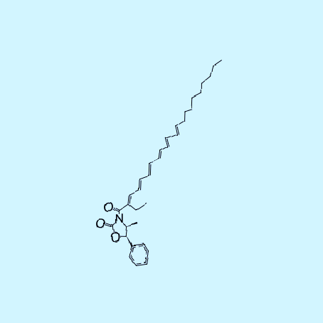 CCCCCCCCC/C=C/C=C/C=C/C=C/C=C/C=C(\CC)C(=O)N1C(=O)O[C@H](c2ccccc2)[C@@H]1C